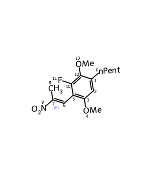 CCCCCc1cc(OC)c(/C=C(\C)[N+](=O)[O-])c(F)c1OC